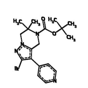 CC(C)(C)OC(=O)N1Cc2c(-c3ccncc3)c(Br)nn2CC1(C)C